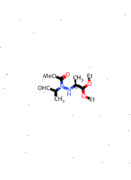 CCOC(OCC)[C@H](C)NN(C(=O)OC)C(C)C=O